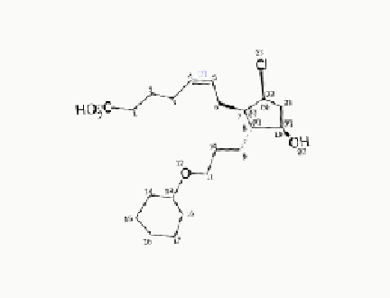 O=C(O)CCC/C=C\C[C@@H]1[C@@H](CCCOC2CCCCC2)[C@H](O)C[C@@H]1Cl